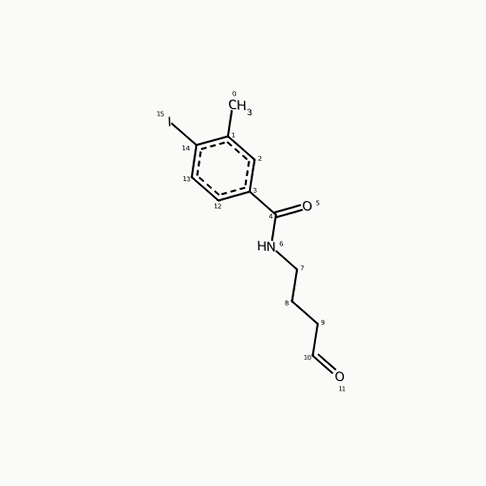 Cc1cc(C(=O)NCCCC=O)ccc1I